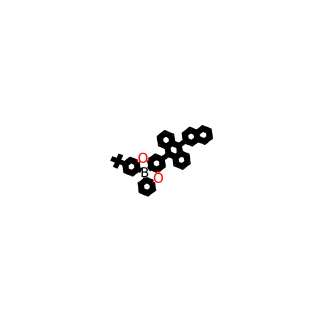 CC(C)(C)c1ccc2c(c1)Oc1cc(-c3c4ccccc4c(-c4ccc5ccccc5c4)c4ccccc34)cc3c1B2c1ccccc1O3